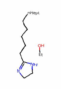 CCCCCCCCCCCCC1=NCCN1.CCO